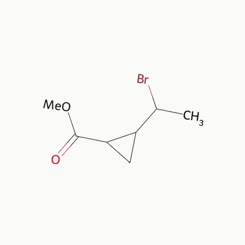 COC(=O)C1CC1C(C)Br